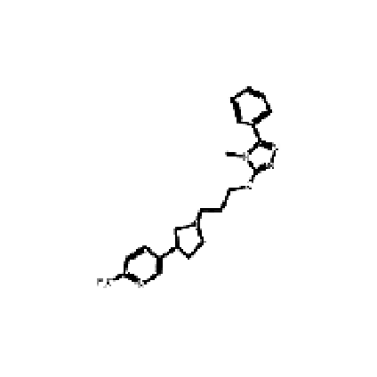 Cn1c(SCCCN2CCC(c3ccc(C(F)(F)F)nc3)C2)nnc1-c1ccccc1